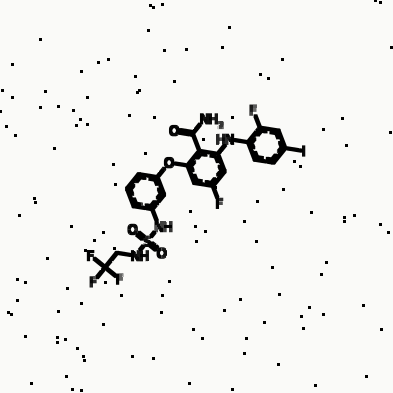 NC(=O)c1c(Nc2ccc(I)cc2F)cc(F)cc1Oc1cccc(NS(=O)(=O)NCC(F)(F)F)c1